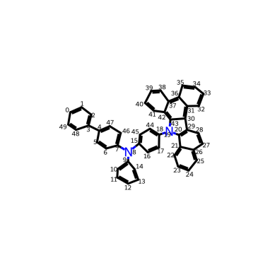 c1ccc(-c2ccc(N(c3ccccc3)c3ccc(-n4c5c6ccccc6ccc5c5c6ccccc6c6ccccc6c54)cc3)cc2)cc1